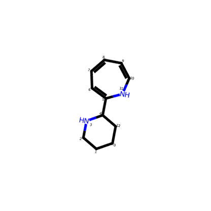 [CH]1CCNC(C2=CC=CC=CN2)C1